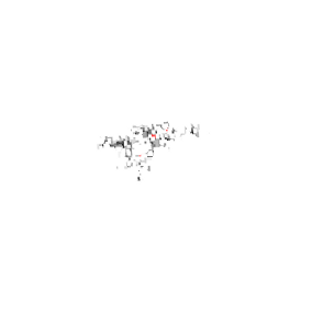 CC[C@H](C)[C@H](NC(=O)[C@H](Cc1ccccc1)NC(=O)[C@@H](N)CCC(=O)O)C(=O)N[C@@H](CCCNC(=N)N)C(=O)N[C@@H](C)C(=O)N[C@H](C(=O)N[C@H](C(=O)N[C@@H](Cc1ccccc1)C(=O)N[C@H](C(=O)N[C@@H](CO)C(=O)N[C@@H](CCCNC(=N)N)C(N)=O)[C@@H](C)O)[C@@H](C)CC)C(C)C